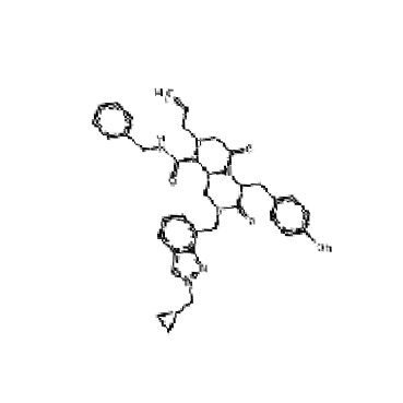 C=CCN1CC(=O)N2C(Cc3ccc(O)cc3)C(=O)N(Cc3cccc4cn(CC5CC5)nc34)CC2N1C(=O)NCc1ccccc1